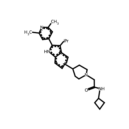 Cc1cc(-c2[nH]c3ccc(C4CCN(CC(=O)NC5CCC5)CC4)cc3c2C(C)C)cc(C)n1